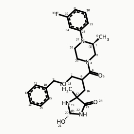 C[C@H]1CN(C(=O)C(COCc2ccccc2)CC2(C)N[C@@H](O)NC2=O)CCN1c1cccc(F)c1